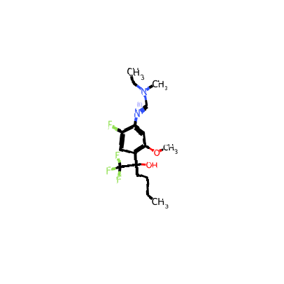 CCCCC(O)(c1cc(F)c(/N=C/N(C)CC)cc1OC)C(F)(F)F